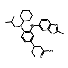 CCC(CC(=O)O)c1ccc(N(CC(C)C)C2CCCCC2)c(Nc2ccc3nc(C)sc3c2)c1